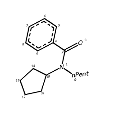 CCCCCN(C(=O)c1ccccc1)C1CCCC1